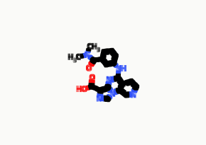 CN(C)C(=O)c1cccc(Nc2nc3c(C(=O)O)ncn3c3cnccc23)c1